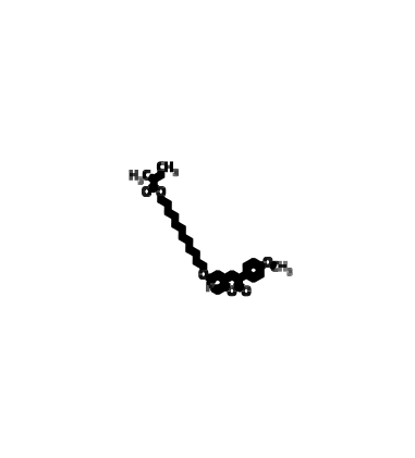 CCC(C)C(=O)OCCCCCCCCCCCCOc1cc2cc(-c3ccc(OC)cc3)c(=O)oc2cn1